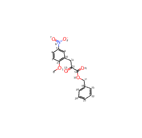 COc1ccc([N+](=O)[O-])cc1CC(=O)C(=O)OCc1ccccc1